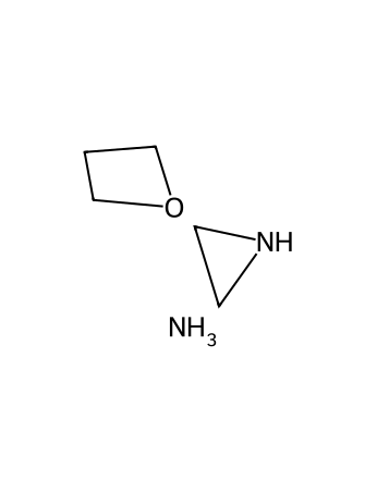 C1CN1.C1COC1.N